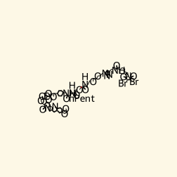 CCCCC[C@H](NC(=O)COCC(=O)NCCOCCOCCn1cc(CNC(=O)C2CCC(CN3C(=O)C(Br)=C(Br)C3=O)CC2)nn1)C(=O)Nc1ccc(COC(=O)O[C@]2(CC)C(=O)OCc3c2cc2n(c3=O)Cc3cc4cc5c(cc4nc3-2)OCO5)cc1